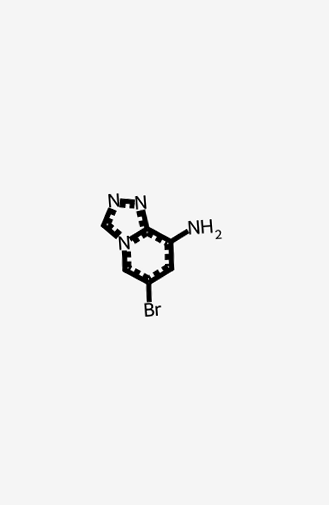 Nc1cc(Br)cn2cnnc12